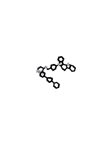 N/C=C\C(/N=C/c1ccc(-n2c3c(c4ccccc42)C2SC4=C(CCC=C4)C2C=C3)cc1)c1cccc(-c2ccc(C3C=CC=CC3)cc2)c1